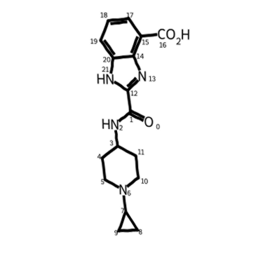 O=C(NC1CCN(C2CC2)CC1)c1nc2c(C(=O)O)cccc2[nH]1